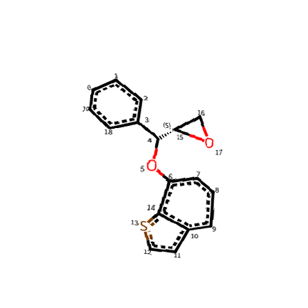 c1ccc(C(Oc2cccc3ccsc23)[C@@H]2CO2)cc1